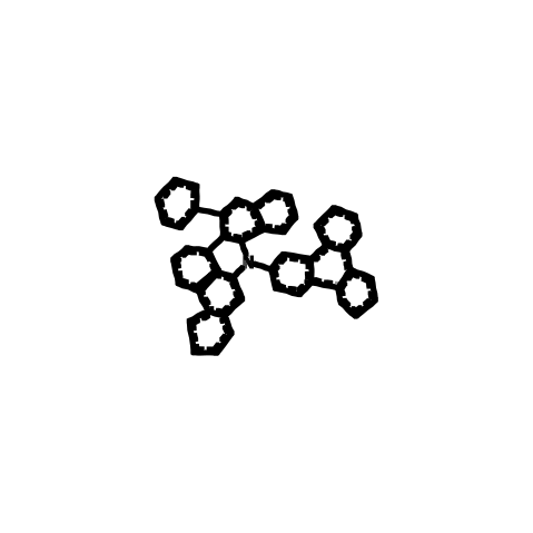 c1ccc(-c2cc3ccccc3c(N(c3ccc4ccccc4c3)c3ccc4c5ccccc5c5ccccc5c4c3)c2-c2ccccc2)cc1